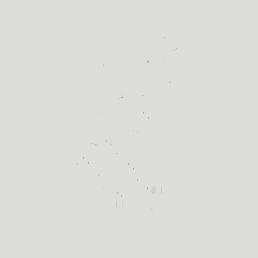 CC(C)C(=O)Nc1nc2c(ncn2[C@H]2CNC[C@](CO)(CO[Si](C(C)C)(C(C)C)C(C)C)O2)c(=O)[nH]1